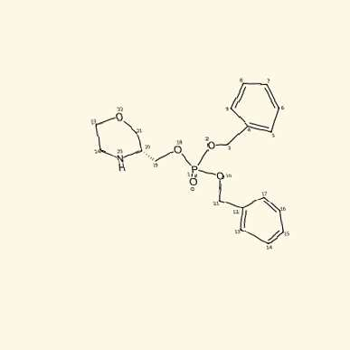 O=P(OCc1ccccc1)(OCc1ccccc1)OC[C@H]1COCCN1